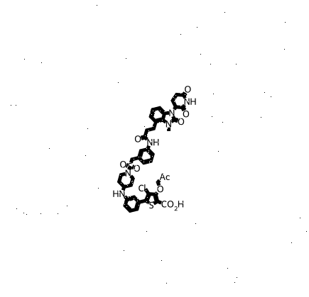 CC(=O)COc1c(C(=O)O)sc(-c2cccc(NC3CCN(S(=O)(=O)Cc4cccc(NC(=O)CCc5cccc6c5n(C)c(=O)n6C5CCC(=O)NC5=O)c4)CC3)c2)c1Cl